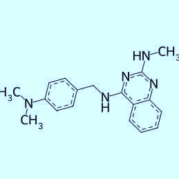 CNc1nc(NCc2ccc(N(C)C)cc2)c2ccccc2n1